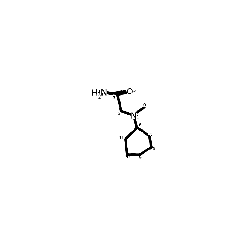 CN(CC(N)=O)C1CCCCC1